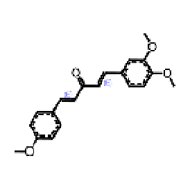 COc1ccc(/C=C/C(=O)/C=C/c2ccc(OC)c(OC)c2)cc1